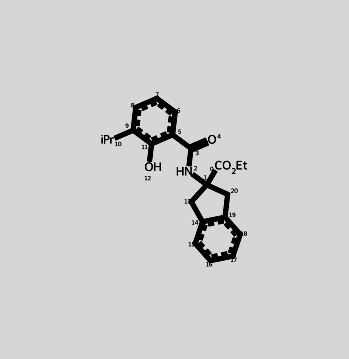 CCOC(=O)C1(NC(=O)c2cccc(C(C)C)c2O)Cc2ccccc2C1